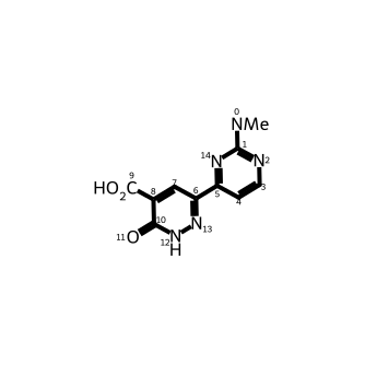 CNc1nccc(-c2cc(C(=O)O)c(=O)[nH]n2)n1